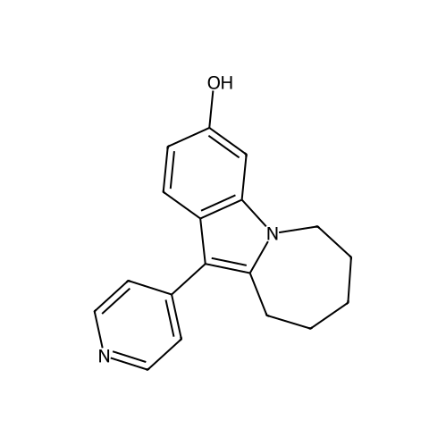 Oc1ccc2c(-c3ccncc3)c3n(c2c1)CCCCC3